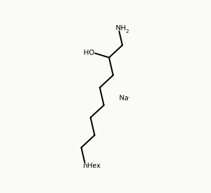 CCCCCCCCCCCCC(O)CN.[Na]